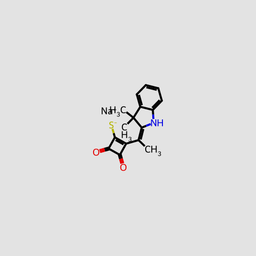 CC(=C1Nc2ccccc2C1(C)C)c1c([S-])c(=O)c1=O.[Na+]